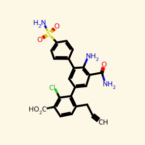 C#CCc1ccc(C(=O)O)c(Cl)c1-c1cc(C(N)=O)c(N)c(-c2ccc(S(N)(=O)=O)cc2)c1